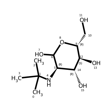 CC(C)(C)N[C@H]1C(O)O[C@H](CO)[C@@H](O)[C@@H]1O